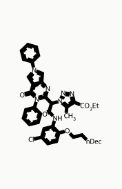 CCCCCCCCCCCCOc1ccc(Cl)cc1NC(=O)C(c1nc2cn(-c3ccccc3)cc2c(=O)n1-c1ccccc1)n1nnc(C(=O)OCC)c1C